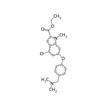 CCOC(=O)c1cc2c(Cl)cc(Oc3ccc(CN(C)C)cc3)cc2n1C